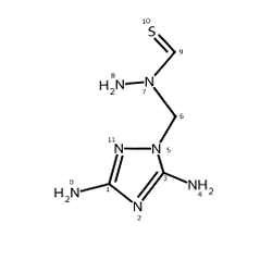 Nc1nc(N)n(CN(N)C=S)n1